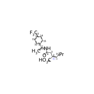 CC(C)/C=C(\CC(=O)N[C@@H](C)c1ccc(C(F)(F)F)cc1)C(=O)O